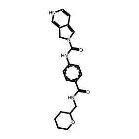 O=C(NCC1CCCCO1)c1ccc(NC(=O)N2C=C3C=CNC=C3C2)cc1